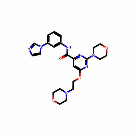 O=C(Nc1cccc(-n2ccnc2)c1)c1cc(OCCN2CCOCC2)nc(N2CCOCC2)n1